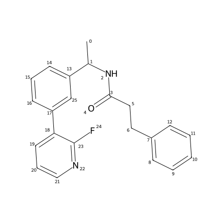 CC(NC(=O)CCc1ccccc1)c1cccc(-c2cccnc2F)c1